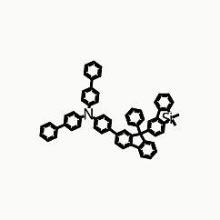 C[Si]1(C)c2ccccc2-c2cc(C3(c4ccccc4)c4ccccc4-c4ccc(-c5ccc(N(c6ccc(-c7ccccc7)cc6)c6ccc(-c7ccccc7)cc6)cc5)cc43)ccc21